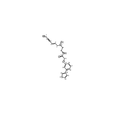 CCN(CC=CC#CC(C)(C)C)CCNC(=O)COc1cccc(-c2ccsc2)c1